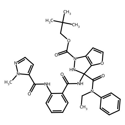 CCN(C(=O)C1(NC(=O)c2ccccc2NC(=O)c2ccnn2C)NN(C(=O)OCC(C)(C)C)c2ccoc21)c1ccccc1